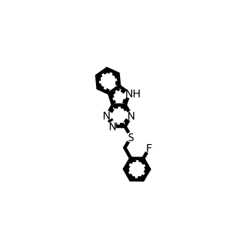 Fc1ccccc1CSc1nnc2c(n1)[nH]c1ccccc12